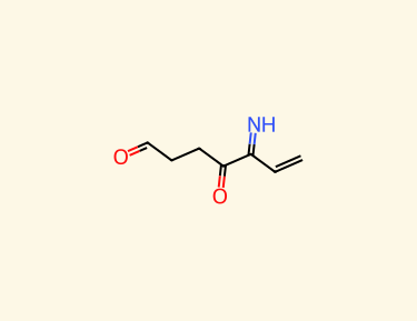 C=CC(=N)C(=O)CCC=O